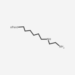 CCCCCCCCCCCNCCN